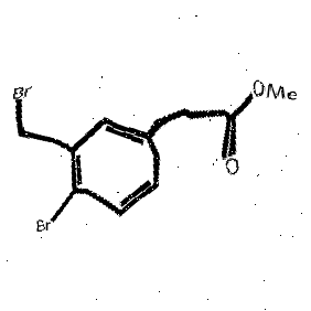 COC(=O)Cc1ccc(Br)c(CBr)c1